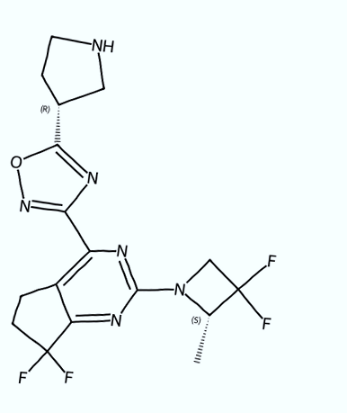 C[C@@H]1N(c2nc(-c3noc([C@@H]4CCNC4)n3)c3c(n2)C(F)(F)CC3)CC1(F)F